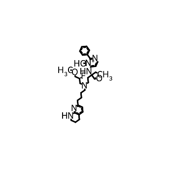 CCC(C=O)(CCN(CCCCc1ccc2c(n1)NCCC2)C[C@H](F)COC)Nc1ccnc(-c2ccccc2)[n+]1O